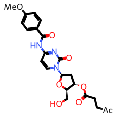 COc1ccc(C(=O)Nc2ccn([C@H]3C[C@H](OC(=O)CCC(C)=O)[C@@H](CO)O3)c(=O)n2)cc1